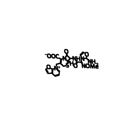 CON=C(C(=O)NC1C(=O)N2C(C(=O)[O-])=C(C[n+]3cccc4ccoc43)CS[C@@H]12)N1C=COC1N